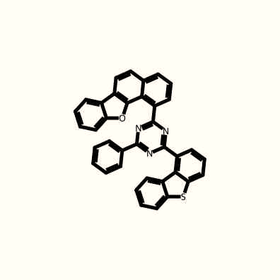 c1ccc(-c2nc(-c3cccc4sc5ccccc5c34)nc(-c3cccc4ccc5c6ccccc6oc5c34)n2)cc1